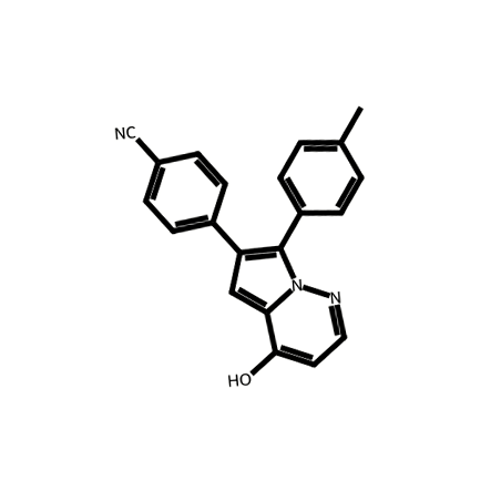 Cc1ccc(-c2c(-c3ccc(C#N)cc3)cc3c(O)ccnn23)cc1